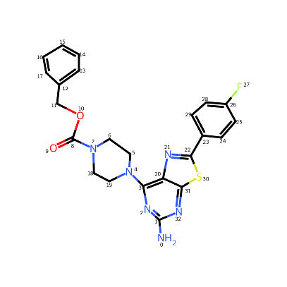 Nc1nc(N2CCN(C(=O)OCc3ccccc3)CC2)c2nc(-c3ccc(F)cc3)sc2n1